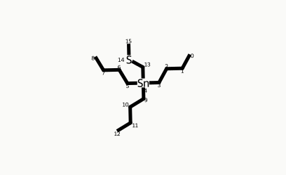 CCC[CH2][Sn]([CH2]CCC)([CH2]CCC)[CH2]SC